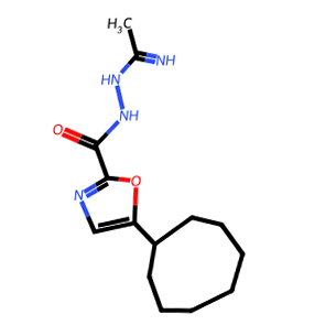 CC(=N)NNC(=O)c1ncc(C2CCCCCCC2)o1